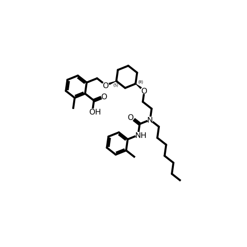 CCCCCCCN(CCO[C@@H]1CCC[C@H](OCc2cccc(C)c2C(=O)O)C1)C(=O)Nc1ccccc1C